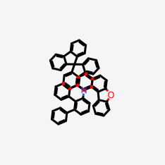 c1ccc(-c2ccccc2-c2c(-c3ccccc3)cccc2N(c2cccc3c2-c2ccccc2C32c3ccccc3-c3ccccc32)c2cccc3oc4ccccc4c23)cc1